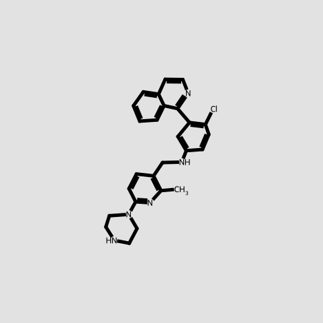 Cc1nc(N2CCNCC2)ccc1CNc1ccc(Cl)c(-c2nccc3ccccc23)c1